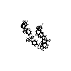 CCC1(OCc2ccc(NC(=O)OC3CCC[C@]4(C3)OOC3(O4)C4CC5CC(C4)CC3C5)cc2)C(=O)OCc2c1cc1n(c2=O)Cc2cc3c(CN(C)C)c(O)ccc3nc2-1